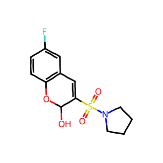 O=S(=O)(C1=Cc2cc(F)ccc2OC1O)N1CCCC1